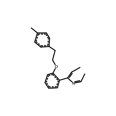 C/C=N\C(=C/C)c1ccccc1OCCc1ccc(C)cc1